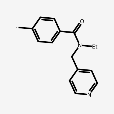 [CH2]c1ccc(C(=O)N(CC)Cc2ccncc2)cc1